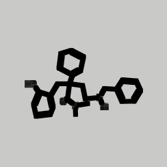 CCN(CCC(Cc1ccccc1O)(C(=O)N(C)C)c1ccccc1)Cc1ccccc1